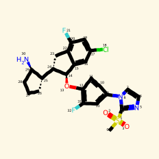 CS(=O)(=O)c1nccn1-c1ccc(O[C@@H]2c3cc(Cl)cc(F)c3C[C@H]2[C@@H]2CCC[C@H]2N)c(F)c1